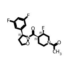 CC(=O)N1CC[C@@H](C(=O)N2OCC[C@H]2c2cc(F)cc(F)c2)[C@@H](F)C1